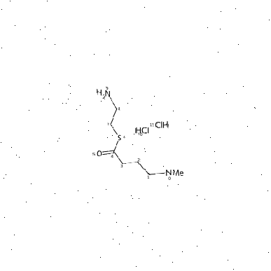 CNCCCC(=O)SCCN.Cl.Cl